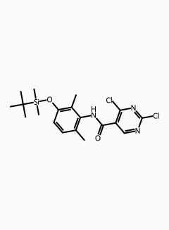 Cc1ccc(O[Si](C)(C)C(C)(C)C)c(C)c1NC(=O)c1cnc(Cl)nc1Cl